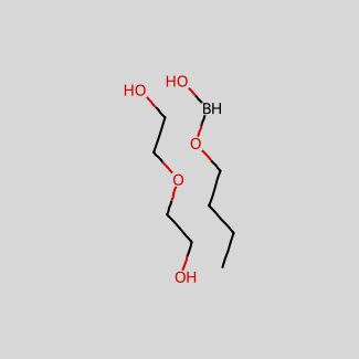 CCCCOBO.OCCOCCO